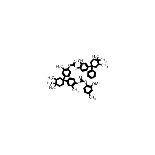 COc1cc(C)ccc1OC(=O)Oc1ccc(C2(c3ccc(OC(=O)Oc4ccc(C5(c6ccccc6)CCC(C)(C)C(C)C5)cc4C)c(C)c3)CCC(C)(C)C(C)C2)cc1C